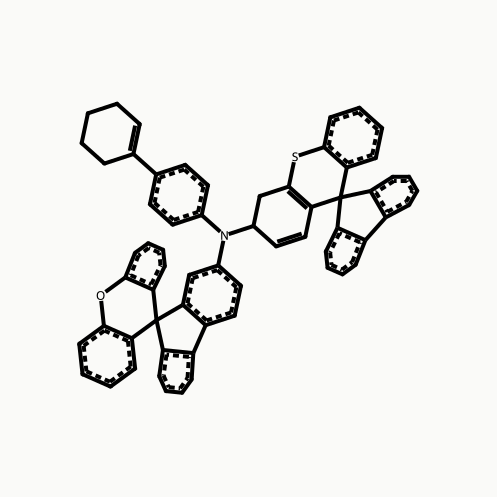 C1=CC(N(c2ccc(C3=CCCCC3)cc2)c2ccc3c(c2)C2(c4ccccc4Oc4ccccc42)c2ccccc2-3)CC2=C1C1(c3ccccc3S2)c2ccccc2-c2ccccc21